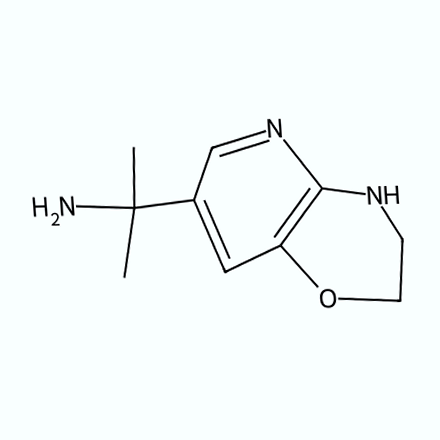 CC(C)(N)c1cnc2c(c1)OCCN2